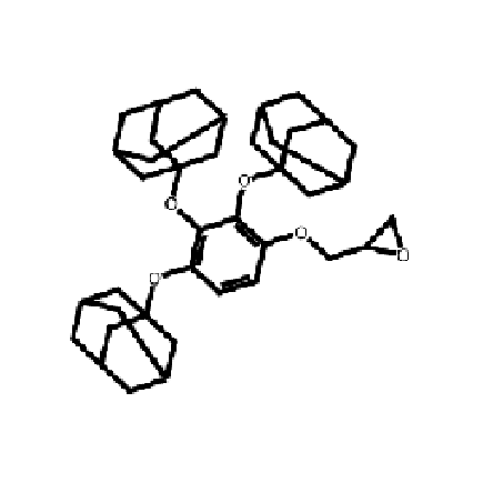 c1cc(OC23CC4CC(CC(C4)C2)C3)c(OC23CC4CC(CC(C4)C2)C3)c(OC23CC4CC(CC(C4)C2)C3)c1OCC1CO1